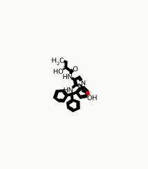 [CH2]C[C@H](O)C(=O)Nc1cnn(CCO)c1NC(c1ccccc1)(c1ccccc1)c1ccccc1